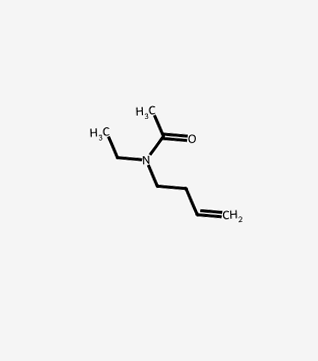 C=CCCN(CC)C(C)=O